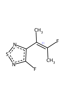 C/C(F)=C(/C)c1nsnc1F